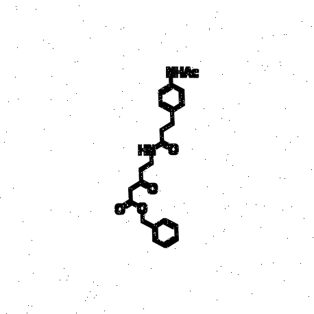 CC(=O)Nc1ccc(CCC(=O)NCCC(=O)CC(=O)OCc2ccccc2)cc1